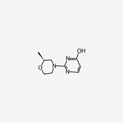 C[C@H]1CN(c2nccc(O)n2)CCO1